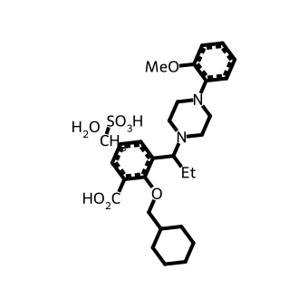 CCC(c1cccc(C(=O)O)c1OCC1CCCCC1)N1CCN(c2ccccc2OC)CC1.CS(=O)(=O)O.O